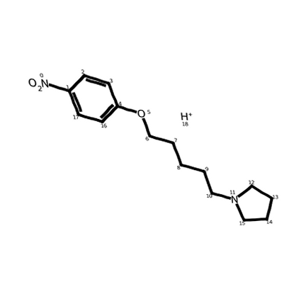 O=[N+]([O-])c1ccc(OCCCCCN2CCCC2)cc1.[H+]